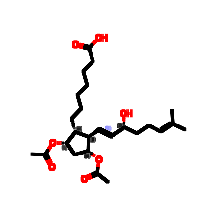 CC(=O)O[C@H]1C[C@@H](OC(C)=O)[C@H](/C=C/[C@H](O)CCC=C(C)C)[C@H]1CCCCCCC(=O)O